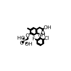 Cc1cc(CC(=O)O)c(Nc2c(F)cccc2Cl)cc1OCP(=O)(O)O